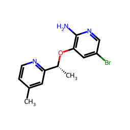 Cc1ccnc([C@@H](C)Oc2cc(Br)cnc2N)c1